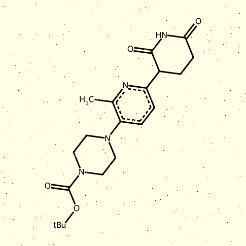 Cc1nc(C2CCC(=O)NC2=O)ccc1N1CCN(C(=O)OC(C)(C)C)CC1